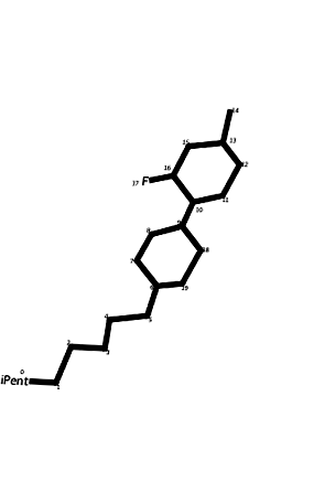 CCCC(C)CCCCCC1CCC(C2CCC(C)CC2F)CC1